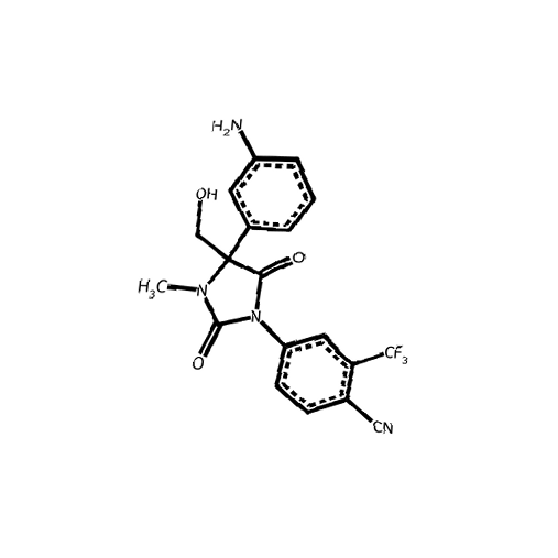 CN1C(=O)N(c2ccc(C#N)c(C(F)(F)F)c2)C(=O)C1(CO)c1cccc(N)c1